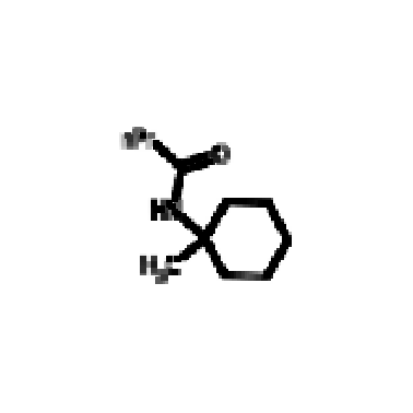 CCCC(=O)NC1(C)CCCCC1